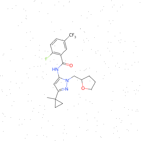 CC1(c2cc(NC(=O)c3cc(C(F)(F)F)ccc3F)n(CC3CCCO3)n2)CC1